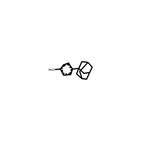 COc1ccc(C23CC4CC(CC(C4)C2)C3)cc1